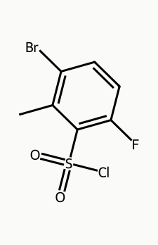 Cc1c(Br)ccc(F)c1S(=O)(=O)Cl